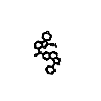 NC(=O)C1(c2cccc([S+]([O-])c3ccc4c(ccc5nnc(-c6ccccn6)n54)c3)c2)CCOCC1